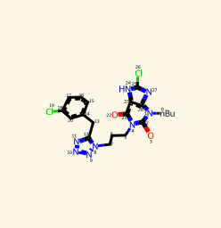 CCCCn1c(=O)n(CCCn2nnnc2Cc2cccc(Cl)c2)c(=O)c2[nH]c(Cl)nc21